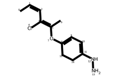 C/C=C\C(Cl)=C(/C)OC1=CC=C(NN)CC1